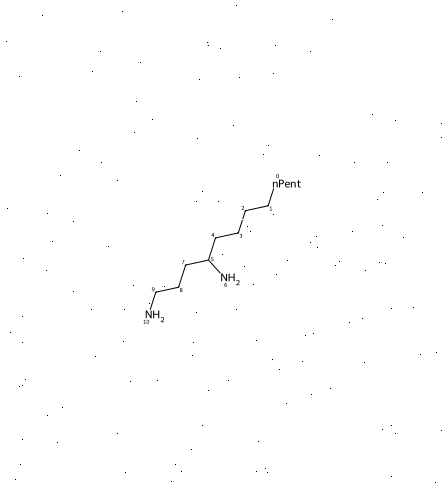 CCCCCCCCCC(N)CCCN